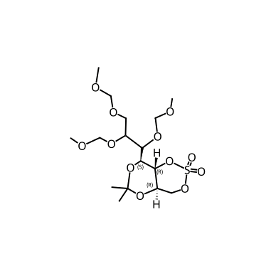 COCOCC(OCOC)C(OCOC)[C@@H]1OC(C)(C)O[C@@H]2COS(=O)(=O)O[C@H]21